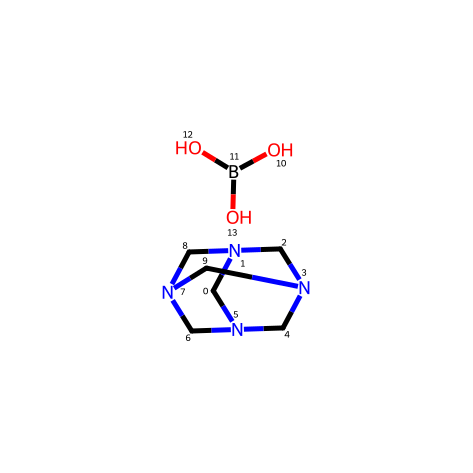 C1N2CN3CN1CN(C2)C3.OB(O)O